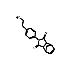 O=C1C2C3C=CC(C3)C2C(=O)N1c1ccc(CCO)cc1